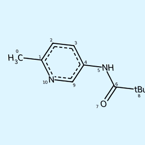 Cc1ccc(NC(=O)C(C)(C)C)cn1